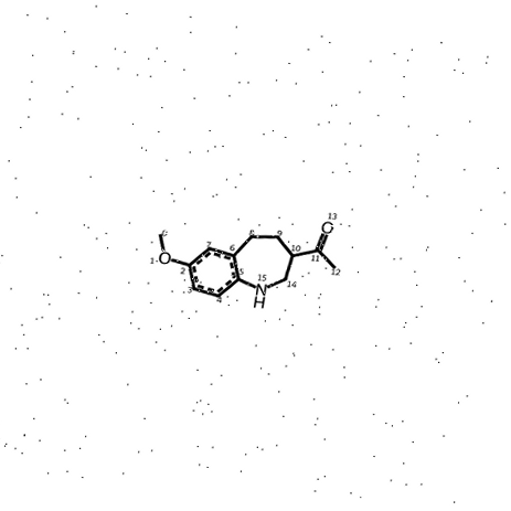 COc1ccc2c(c1)CCC(C(C)=O)CN2